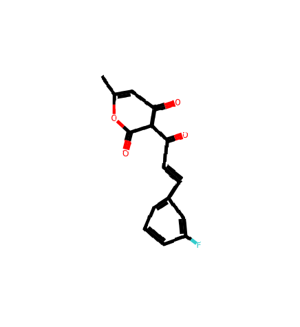 CC1=CC(=O)C(C(=O)C=Cc2cccc(F)c2)C(=O)O1